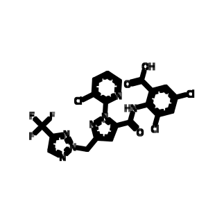 O=C(O)c1cc(Cl)cc(Cl)c1NC(=O)c1cc(Cn2ncc(C(F)(F)F)n2)nn1-c1ncccc1Cl